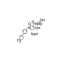 O=C(O)CNC(=O)C1=C(O)CCN(Cc2ccc(C3=CCC(F)(F)CC3)cc2)C1=O.[NaH]